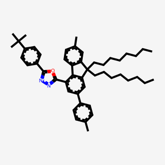 CCCCCCCCC1(CCCCCCCC)c2cc(C)ccc2-c2c(-c3nnc(-c4ccc(C(C)(C)C)cc4)o3)cc(-c3ccc(C)cc3)cc21